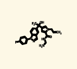 C=CCn1cc(C(O)(c2ccc3c(cnn3-c3ccc(F)cc3)c2)C(F)(F)F)cc1C(=O)NCN